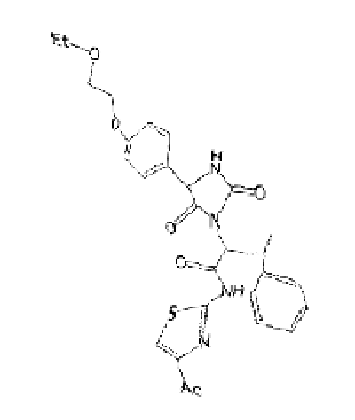 CCOCCOc1ccc(C2NC(=O)N(C(C(=O)Nc3nc(C(C)=O)cs3)C(C)c3ccccc3)C2=O)cc1